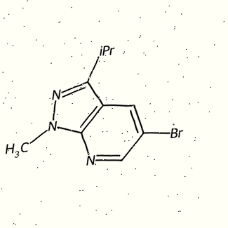 CC(C)c1nn(C)c2ncc(Br)cc12